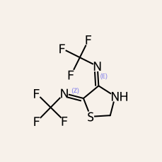 FC(F)(F)/N=C1\SCN\C1=N\C(F)(F)F